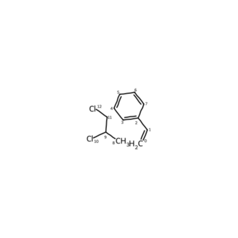 C=Cc1ccccc1.CC(Cl)CCl